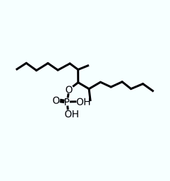 CCCCCCC(C)C(OP(=O)(O)O)C(C)CCCCCC